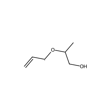 C=C[CH]OC(C)CO